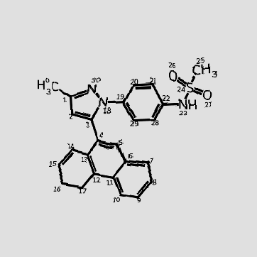 Cc1cc(-c2cc3ccccc3c3c2C=CCC3)n(-c2ccc(NS(C)(=O)=O)cc2)n1